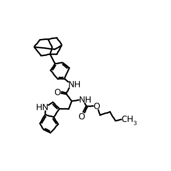 CCCCOC(=O)NC(Cc1c[nH]c2ccccc12)C(=O)Nc1ccc(C23CC4CC(CC(C4)C2)C3)cc1